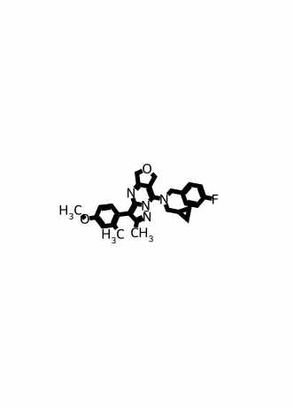 COc1ccc(-c2c(C)nn3c(N(Cc4ccc(F)cc4)CC4CC4)c4c(nc23)COC4)c(C)c1